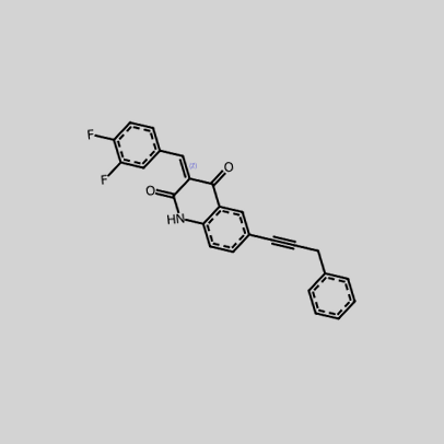 O=C1Nc2ccc(C#CCc3ccccc3)cc2C(=O)/C1=C/c1ccc(F)c(F)c1